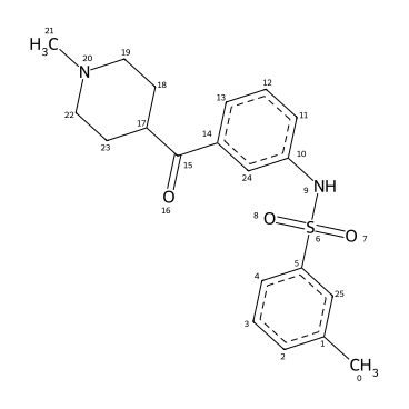 Cc1cccc(S(=O)(=O)Nc2cccc(C(=O)C3CCN(C)CC3)c2)c1